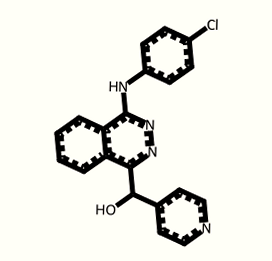 OC(c1ccncc1)c1nnc(Nc2ccc(Cl)cc2)c2ccccc12